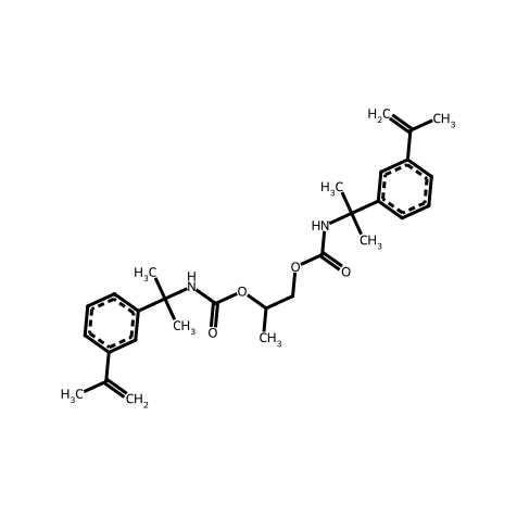 C=C(C)c1cccc(C(C)(C)NC(=O)OCC(C)OC(=O)NC(C)(C)c2cccc(C(=C)C)c2)c1